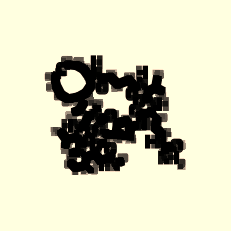 CC[C@H](C)C(C(CC(=O)NC)OC)N(C)C(=O)[C@@H](NC(=O)[C@H](C(C)C)N(C)C(=O)OCc1ccc(NC(=O)[C@H](CCCNC(N)=O)NC(=O)[C@@H](NC(=O)CCCC(=O)NC2CCCCCCCCCCC2)C(C)C)cc1)C(C)C